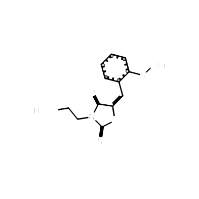 CC(C)(C)Sc1ccccc1/C=C1/SC(=S)N(CCC(=O)O)C1=O